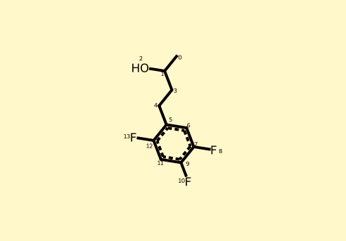 CC(O)CCc1cc(F)c(F)cc1F